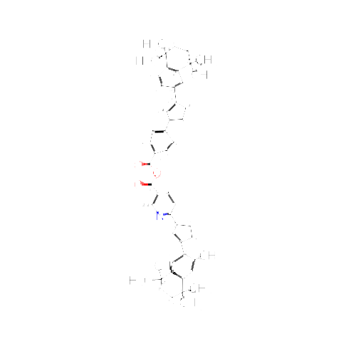 Cc1cc2c(cc1C1=CC(c3ccc(C(=O)OC(=O)c4ccc(C5C=C(c6ccc7c(c6)C(C)(C)CCC7(C)C)CC5)cc4)cn3)CC1)C(C)(C)CCC2(C)C